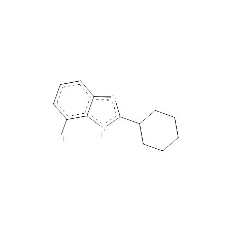 Cc1cccc2nc(C3CCCCC3)[nH]c12